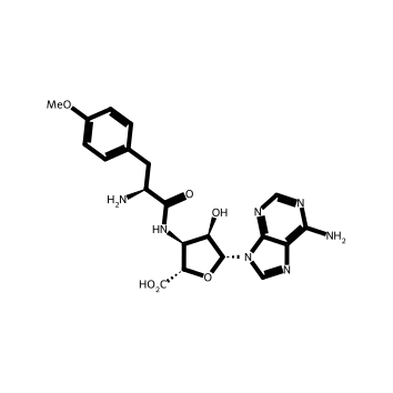 COc1ccc(C[C@H](N)C(=O)N[C@H]2[C@@H](O)[C@H](n3cnc4c(N)ncnc43)O[C@@H]2C(=O)O)cc1